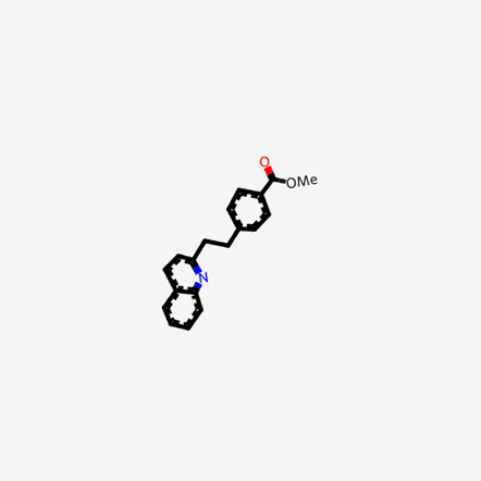 COC(=O)c1ccc(CCc2ccc3ccccc3n2)cc1